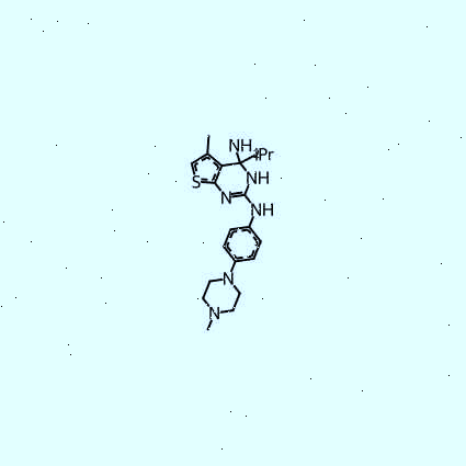 Cc1csc2c1C(N)(C(C)C)NC(Nc1ccc(N3CCN(C)CC3)cc1)=N2